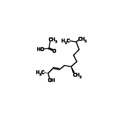 CC(=O)O.CC(C)CCC[C@@H](C)CC=C[C@@H](C)O